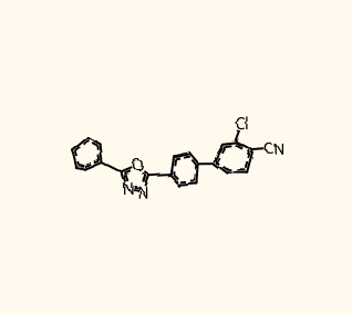 N#Cc1ccc(-c2ccc(-c3nnc(-c4ccccc4)o3)cc2)cc1Cl